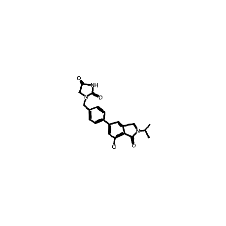 CC(C)N1Cc2cc(-c3ccc(CN4CC(=O)NC4=O)cc3)cc(Cl)c2C1=O